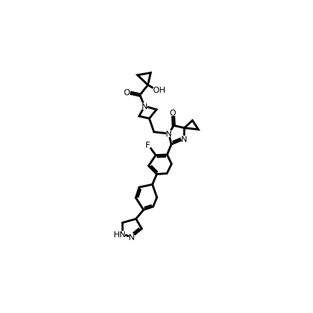 O=C(N1CC(CN2C(=O)C3(CC3)N=C2C2=C(F)C=C(C3C=CC(C4C=NNC4)=CC3)CC2)C1)C1(O)CC1